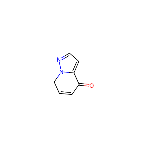 O=C1C=CCn2nccc21